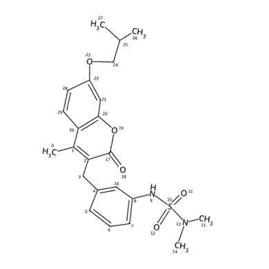 Cc1c(Cc2cccc(NS(=O)(=O)N(C)C)c2)c(=O)oc2cc(OCC(C)C)ccc12